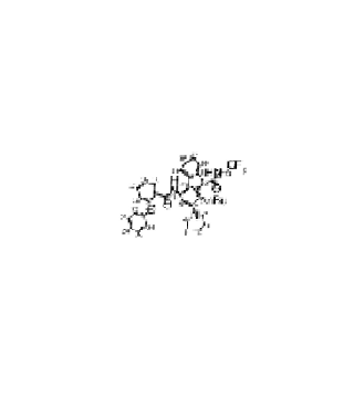 CCCCc1c(N2CCCCC2)cc(NC(=O)c2ccccc2Oc2ccccc2)c2c1C(C(=O)NCC(F)(F)F)c1ccccc1-2